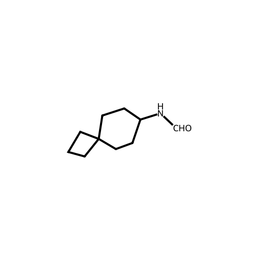 O=CNC1CCC2(CCC2)CC1